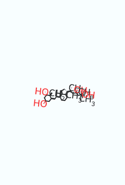 C=C1/C(=C\C=C2/CCC[C@]3(C)[C@@H]([C@H](C)CC(O)CC(C)(C)O)CC[C@@H]23)C[C@@H](O)C[C@@H]1O